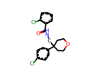 O=C(NCC1(c2ccc(Cl)cc2)CCOCC1)c1ccccc1Cl